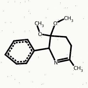 COC1(OC)CCC(C)=NC1c1ccccc1